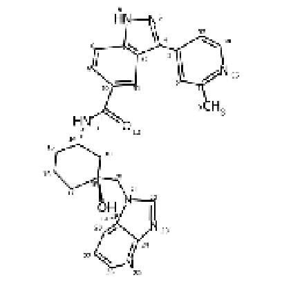 Cc1cc(-c2n[nH]c3ccc(C(=O)N[C@H]4CCC[C@@](O)(Cn5cnc6ncccc65)C4)cc23)ccn1